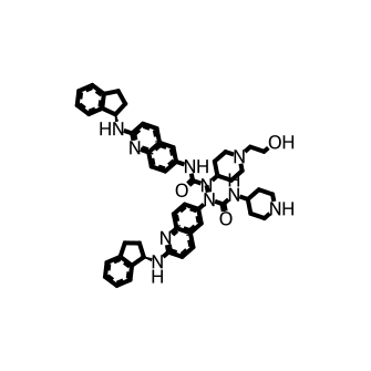 O=C(NC1CCNCC1)N(c1ccc2nc(N[C@@H]3CCc4ccccc43)ccc2c1)N(C(=O)Nc1ccc2nc(N[C@@H]3CCc4ccccc43)ccc2c1)C1CCN(CCO)CC1